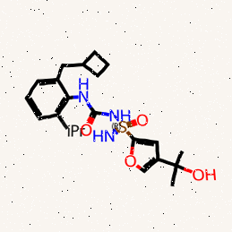 CC(C)c1cccc(CC2CCC2)c1NC(=O)N[S@](=N)(=O)c1cc(C(C)(C)O)co1